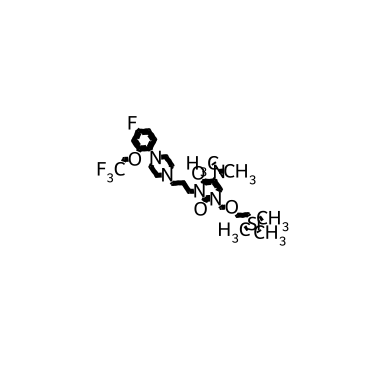 CN(C)c1cn(COCC[Si](C)(C)C)c(=O)n(CCCN2CCN(c3ccc(F)cc3OCC(F)(F)F)CC2)c1=O